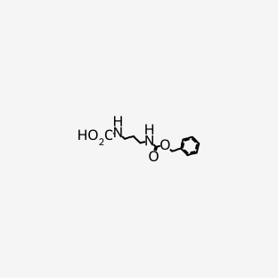 O=C(O)NCCCNC(=O)OCc1ccccc1